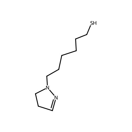 SCCCCCCN1CCC=N1